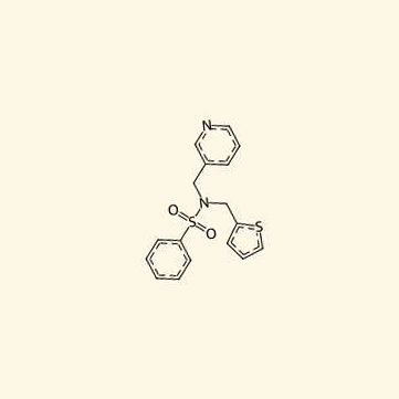 O=S(=O)(c1ccccc1)N(Cc1cccnc1)Cc1cccs1